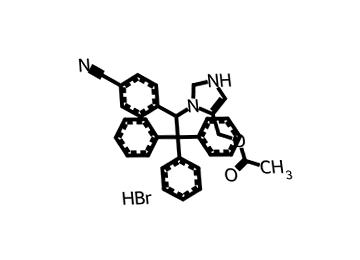 Br.CC(=O)OCC1=CNCN1C(c1ccc(C#N)cc1)C(c1ccccc1)(c1ccccc1)c1ccccc1